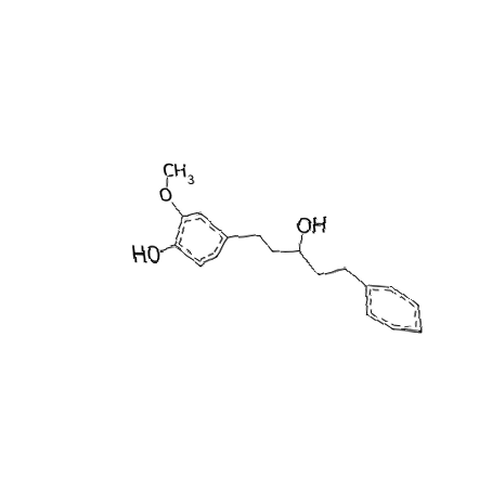 COc1cc(CCC(O)CCc2ccccc2)ccc1O